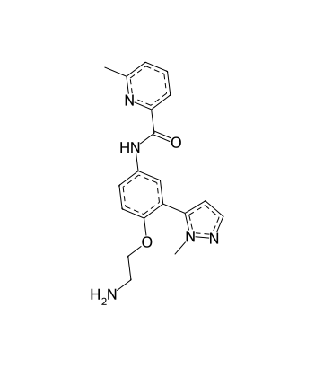 Cc1cccc(C(=O)Nc2ccc(OCCN)c(-c3ccnn3C)c2)n1